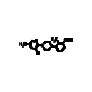 Nc1cnc(N2CCN(c3cccc(C=O)c3C(F)(F)F)CC2)c(Cl)c1